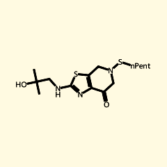 CCCCCSN1CC(=O)c2nc(NCC(C)(C)O)sc2C1